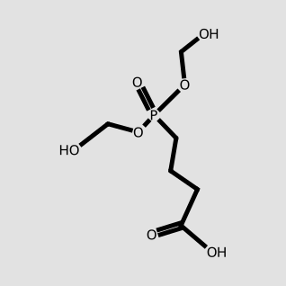 O=C(O)CCCP(=O)(OCO)OCO